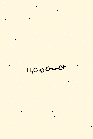 CCC[C@H]1CC[C@H](C2CCC(C=CC#Cc3ccc(F)cc3)CC2)CC1